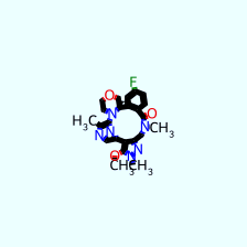 COc1c2c(nn1C)CN(C)C(=O)c1ccc(F)cc1[C@H]1COCCN1c1nc-2cnc1C